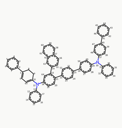 C1=C(c2ccccc2)CCC(N(c2ccccc2)c2ccc(-c3ccc(-c4ccc(N(c5ccccc5)c5ccc(-c6ccccc6)cc5)cc4)cc3)c(-c3ccc4ccccc4c3)c2)=C1